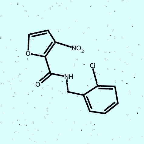 O=C(NCc1ccccc1Cl)c1occc1[N+](=O)[O-]